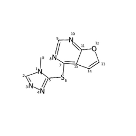 Cn1cnnc1Sc1ncnc2occc12